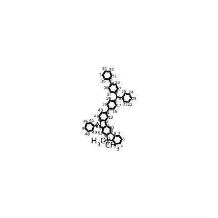 CC1(C)c2ccccc2-c2cc3c4cc(-c5ccc(C(c6ccccc6)c6ccc(-c7ccccc7)cc6)cc5)ccc4n(-c4ccccc4)c3cc21